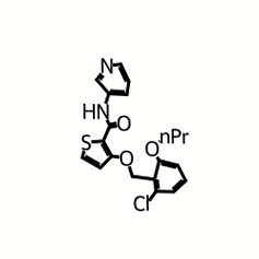 CCCOc1cccc(Cl)c1COc1ccsc1C(=O)Nc1cccnc1